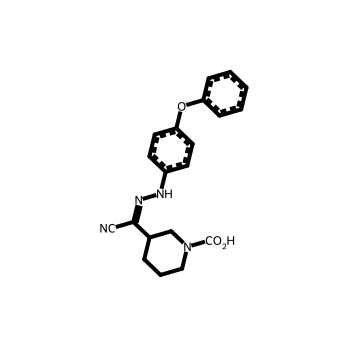 N#CC(=NNc1ccc(Oc2ccccc2)cc1)C1CCCN(C(=O)O)C1